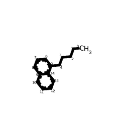 CCCC[CH]c1cccc2ccccc12